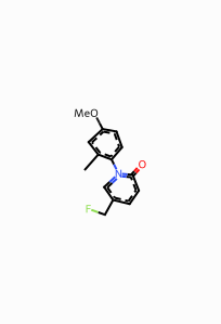 COc1ccc(-n2cc(CF)ccc2=O)c(C)c1